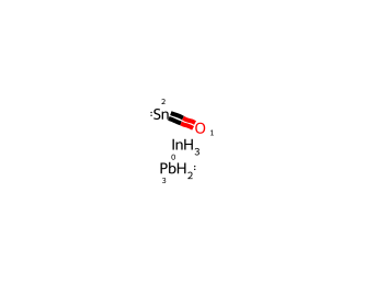 [InH3].[O]=[Sn].[PbH2]